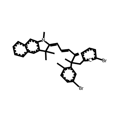 C=C(/C=C/C=C1/N(C)c2cc3ccccc3cc2C1(C)C)C(C)(Cc1cccc(Br)c1)c1cc(Br)ccc1C